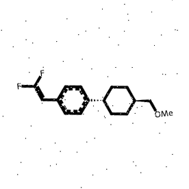 COC[C@H]1CC[C@H](c2ccc(C=C(F)F)cc2)CC1